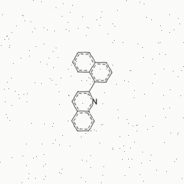 [c]1ccc2ccc(-c3cccc4ccccc34)nc2c1